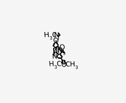 Cc1cc(-c2cc(C3(NC(=O)c4cc(OC[C@@H]5CCN5C)ccc4C)CC3)c3cccnc3c2)c(C)o1